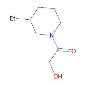 CCC1CCCN(C(=O)CO)C1